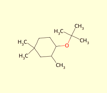 CC1CC(C)(C)CCC1OC(C)(C)C